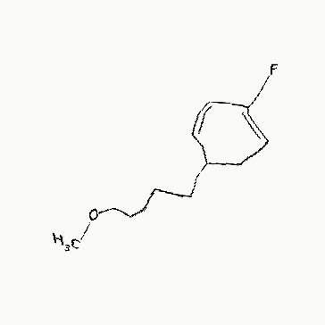 COCCCC1C=CC(F)=CC1